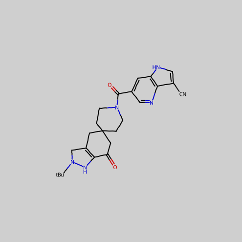 CC(C)(C)N1CC2=C(N1)C(=O)CC1(CCN(C(=O)c3cnc4c(C#N)c[nH]c4c3)CC1)C2